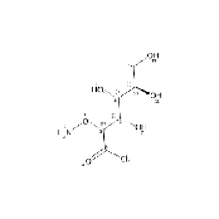 NO[C@@H](C(=O)Cl)[C@@H](O)[C@H](O)[C@H](O)CO